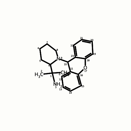 CC(C)(N)C1CCCCN1C1c2ccccc2Oc2ccccc21